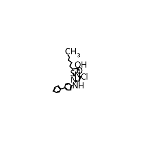 CCCCCCC(Sc1nc(Cl)cc(Nc2ccc(-c3ccccc3)cc2)n1)C(=O)O